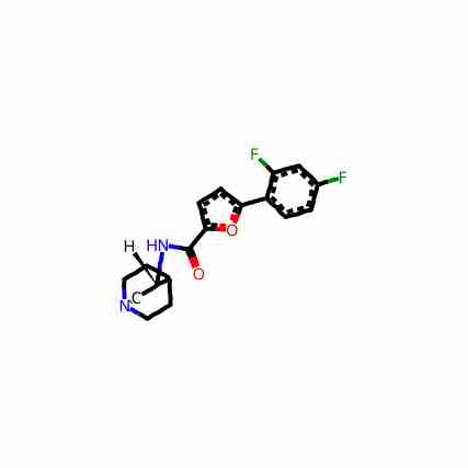 O=C(N[C@H]1CN2CCC1CC2)c1ccc(-c2ccc(F)cc2F)o1